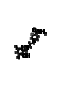 NC(=O)C1CCN(CCCNCc2cc(I)cc(I)c2O)CC1